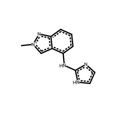 Cn1cc2c(Nc3ncc[nH]3)cccc2n1